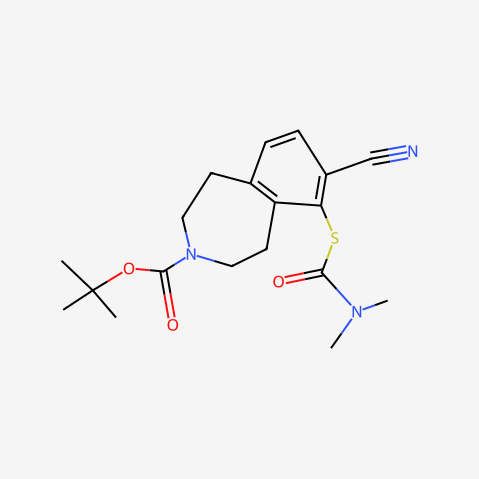 CN(C)C(=O)Sc1c(C#N)ccc2c1CCN(C(=O)OC(C)(C)C)CC2